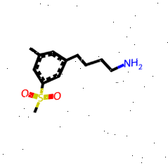 Cc1cc(CCCCN)cc(S(C)(=O)=O)c1